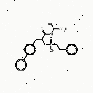 CCC(C)[C@H](NC(=O)[C@H](Cc1ccc(-c2ccccc2)cc1)CP(=O)(O)CCc1ccccc1)C(=O)O